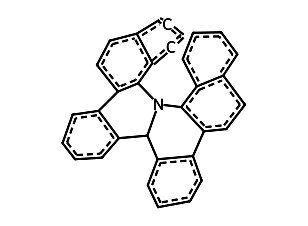 c1ccc2c(c1)-c1ccc3ccccc3c1N1c3c(ccc4ccccc34)-c3ccccc3C21